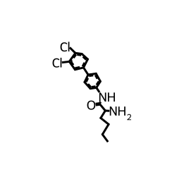 CCCCC(N)C(=O)Nc1ccc(-c2ccc(Cl)c(Cl)c2)cc1